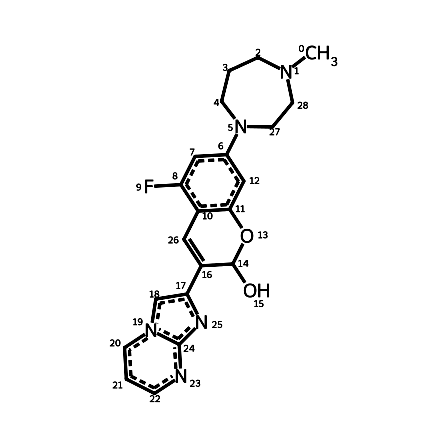 CN1CCCN(c2cc(F)c3c(c2)OC(O)C(c2cn4cccnc4n2)=C3)CC1